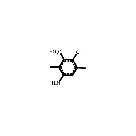 Cc1cc(N)c(C)c(C(=O)O)c1O